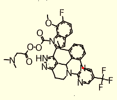 CCc1cccc(CC)c1C1c2c(n[nH]c2-c2cc3ccc(F)c(OC)c3n2C(=O)OOC(=O)CN(C)C)CCN1c1ncc(C(F)(F)F)cn1